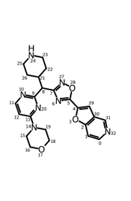 c1cc2oc(-c3nc(C(c4nccc(N5CCOCC5)n4)C4CCNCC4)no3)cc2cn1